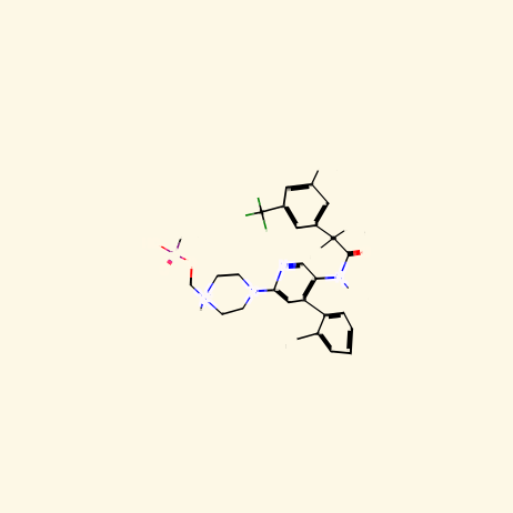 Cc1cc(C(F)(F)F)cc(C(C)(C)C(=O)N(C)c2cnc(N3CC[N+](C)(COP(C)(=O)O)CC3)cc2-c2ccccc2C)c1